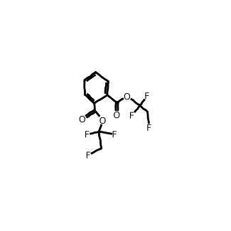 O=C(OC(F)(F)CF)c1ccccc1C(=O)OC(F)(F)CF